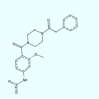 COc1cc(N[SH](=O)=O)ccc1C(=O)N1CCN(C(=O)Cc2ccccc2)CC1